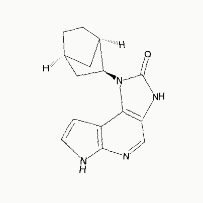 O=c1[nH]c2cnc3[nH]ccc3c2n1[C@H]1C[C@H]2CC[C@@H]1C2